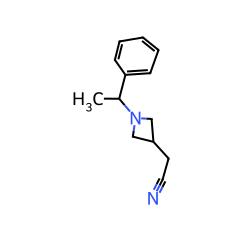 CC(c1ccccc1)N1CC(CC#N)C1